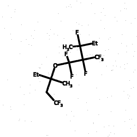 CCC(C)(CC(F)(F)F)OC(F)(F)C(F)(C(F)(F)F)C(C)(F)CC